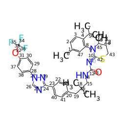 Cc1ccc(C(C)C)c(N2/C(=N/C(=O)NCC(C)(C)Cc3ccc(-c4ncn(-c5ccc(OC(F)(F)F)cc5)n4)cc3)SCCC2C)c1